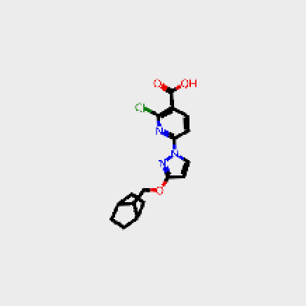 O=C(O)c1ccc(-n2ccc(OCC3C4CCC3CC4)n2)nc1Cl